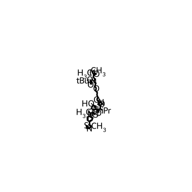 Cc1ncsc1-c1ccc(N(C)C(=O)[C@@H]2C[C@@H](O)CN2C(=O)C(c2cc(OCCCCOCCN(CCC(=O)N(C)C)C(=O)OC(C)(C)C)no2)C(C)C)cc1